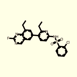 CCc1nc(NS(=O)(=O)c2ccccc2Cl)ccc1-c1cc(CC)c2nc(F)ncc2c1